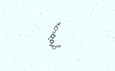 C=C(c1ccc(-c2cnc(OCC3CCN(CC(C)(C)F)CC3)cn2)c(F)c1)N1CCCC(O)C1